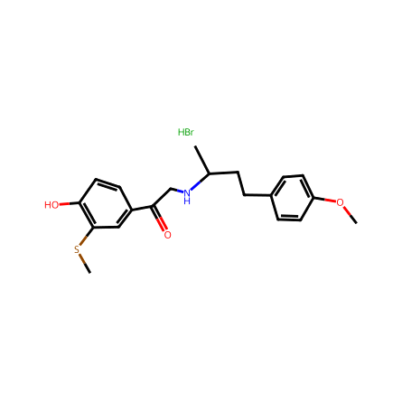 Br.COc1ccc(CCC(C)NCC(=O)c2ccc(O)c(SC)c2)cc1